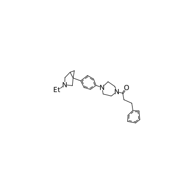 CCN1CC2CC2(c2ccc(N3CCN(C(=O)CCc4ccccc4)CC3)cc2)C1